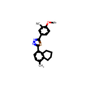 Cc1ccc(-c2nnc(-c3ccc(OC(C)C)c(C#N)c3)s2)c2c1CCCC2